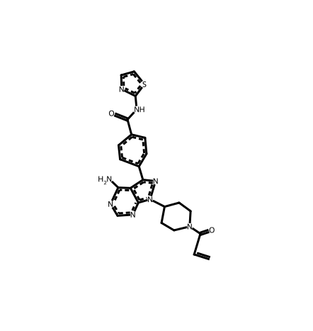 C=CC(=O)N1CCC(n2nc(-c3ccc(C(=O)Nc4nccs4)cc3)c3c(N)ncnc32)CC1